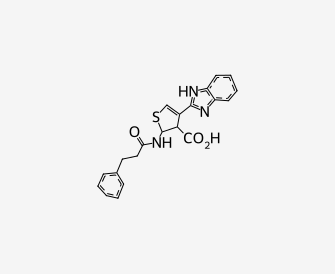 O=C(CCc1ccccc1)NC1SC=C(c2nc3ccccc3[nH]2)C1C(=O)O